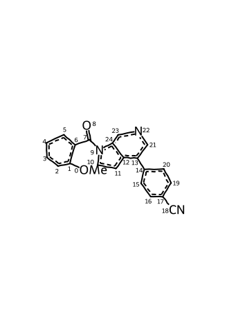 COc1ccccc1C(=O)n1ccc2c(-c3ccc(C#N)cc3)cncc21